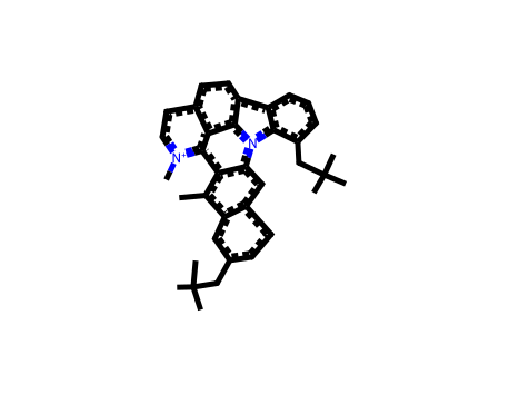 Cc1c2cc(CC(C)(C)C)ccc2cc2c1c1c3c(ccc4c5cccc(CC(C)(C)C)c5n2c43)cc[n+]1C